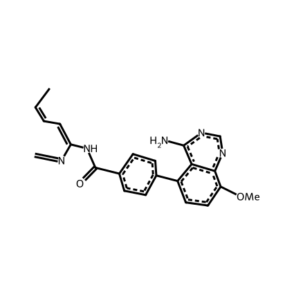 C=N/C(=C\C=C/C)NC(=O)c1ccc(-c2ccc(OC)c3ncnc(N)c23)cc1